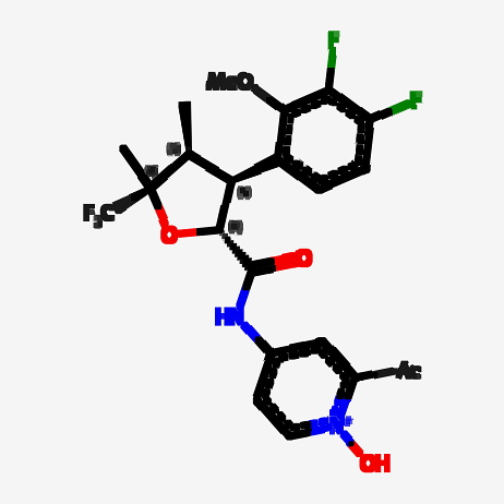 COc1c([C@H]2[C@H](C(=O)Nc3cc[n+](O)c(C(C)=O)c3)O[C@@](C)(C(F)(F)F)[C@H]2C)ccc(F)c1F